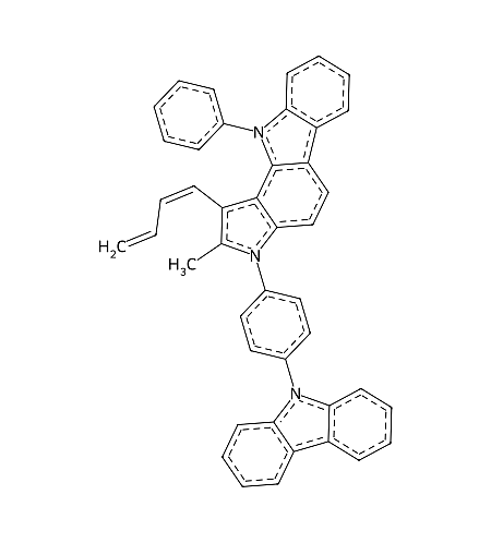 C=C/C=C\c1c(C)n(-c2ccc(-n3c4ccccc4c4ccccc43)cc2)c2ccc3c4ccccc4n(-c4ccccc4)c3c12